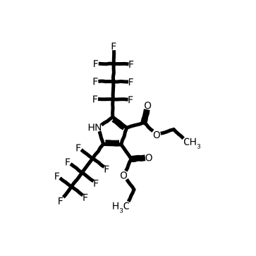 CCOC(=O)c1c(C(F)(F)C(F)(F)C(F)(F)F)[nH]c(C(F)(F)C(F)(F)C(F)(F)F)c1C(=O)OCC